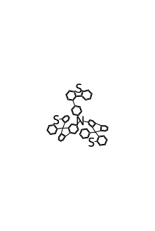 c1ccc2c(c1)Sc1ccccc1C21c2ccccc2-c2ccc(N(c3ccc(-c4cccc5sc6ccccc6c45)cc3)c3ccc4c(c3)C3(c5ccccc5Sc5ccccc53)c3ccccc3-4)cc21